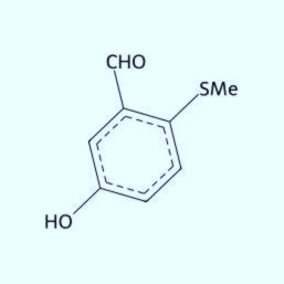 CSc1ccc(O)cc1C=O